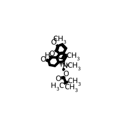 CCC[C@]12c3c4ccc(OC)c3O[C@H]1C(=O)CC[C@H]2C(N(C)COC(=O)C(C)(C)C)C4